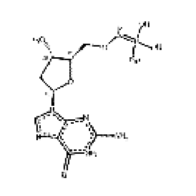 Nc1nc2c(ncn2[C@H]2C[C@H](O)[C@@H](CO[SH]=P(O)(O)O)O2)c(=O)[nH]1